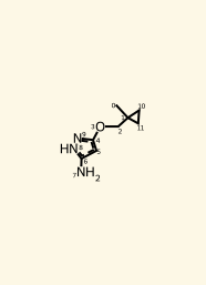 CC1(COc2cc(N)[nH]n2)CC1